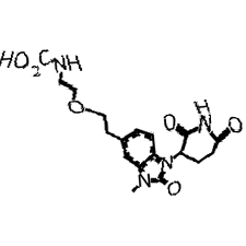 Cn1c(=O)n(C2CCC(=O)NC2=O)c2ccc(CCOCCNC(=O)O)cc21